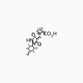 O=C1NN(c2ccc(I)cc2)C(=O)/C1=C/c1sccc1C(=O)O